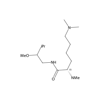 CN[C@@H](CCCCN(C)C)C(=O)NCC(OC)C(C)C